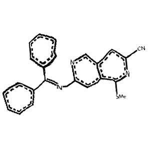 CSc1nc(C#N)cc2cnc(N=C(c3ccccc3)c3ccccc3)cc12